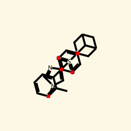 Cc1ccccc1-c1ccc(C2C3CC2CN(S(=O)(=O)c2cn(C)cn2)C3)cc1